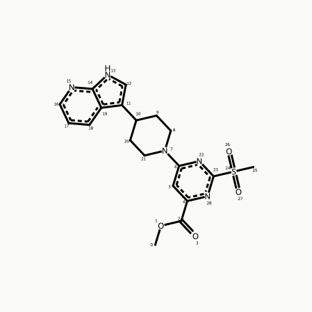 COC(=O)c1cc(N2CCC(c3c[nH]c4ncccc34)CC2)nc(S(C)(=O)=O)n1